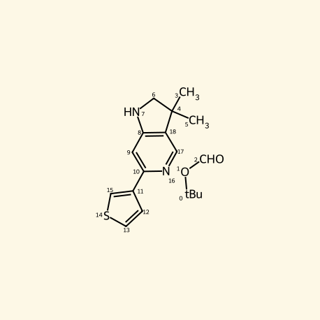 CC(C)(C)OC=O.CC1(C)CNc2cc(-c3ccsc3)ncc21